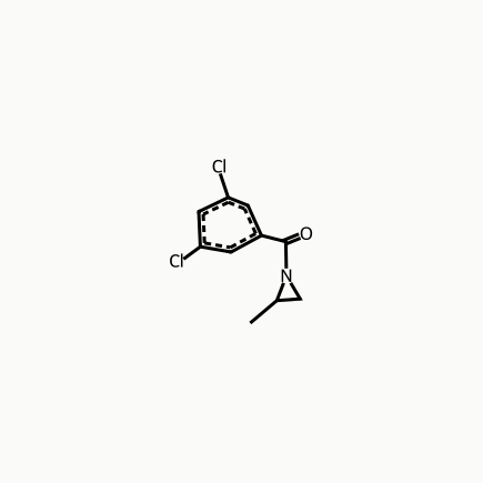 CC1CN1C(=O)c1cc(Cl)cc(Cl)c1